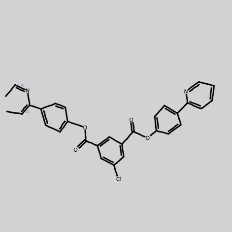 C/C=N\C(=C/C)c1ccc(OC(=O)c2cc(Cl)cc(C(=O)Oc3ccc(-c4ccccn4)cc3)c2)cc1